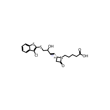 O=C(O)CCCCN1C(=O)C[C@@H]1/C=C/C(O)CSc1sc2ccccc2c1Cl